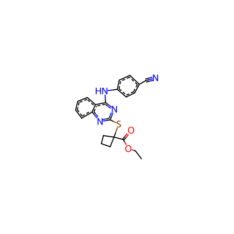 CCOC(=O)C1(Sc2nc(Nc3ccc(C#N)cc3)c3ccccc3n2)CCC1